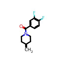 C=C1CCN(C(=O)c2ccc(F)c(F)c2)CC1